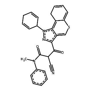 CN(C(=O)C(C#N)C(=O)c1nn(C2C=CCC=C2)c2c1=CSC1=CC=CCC=21)c1ccccc1